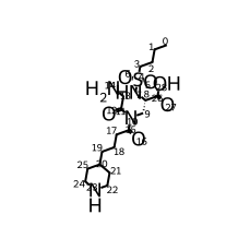 CCCCS(=O)(=O)N[C@@H](CN(C(=O)CN)C(=O)CCCC1CCNCC1)C(=O)O